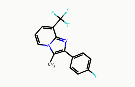 Cc1c(-c2ccc(F)cc2)nc2c(C(F)(F)F)cccn12